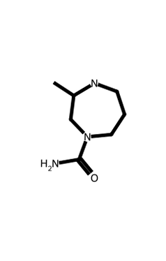 CC1CN(C(N)=O)CCC[N]1